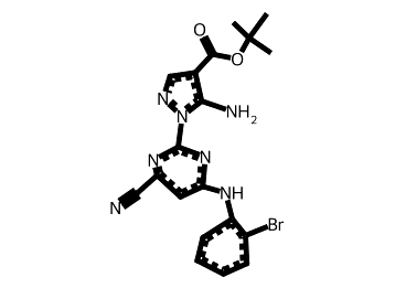 CC(C)(C)OC(=O)c1cnn(-c2nc(C#N)cc(Nc3ccccc3Br)n2)c1N